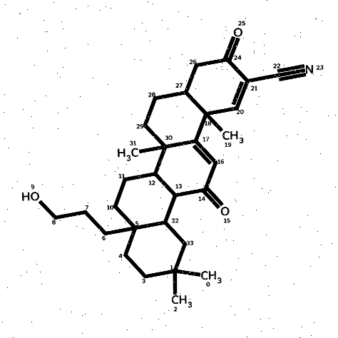 CC1(C)CCC2(CCCO)CCC3C(C(=O)C=C4C5(C)C=C(C#N)C(=O)CC5CCC43C)C2C1